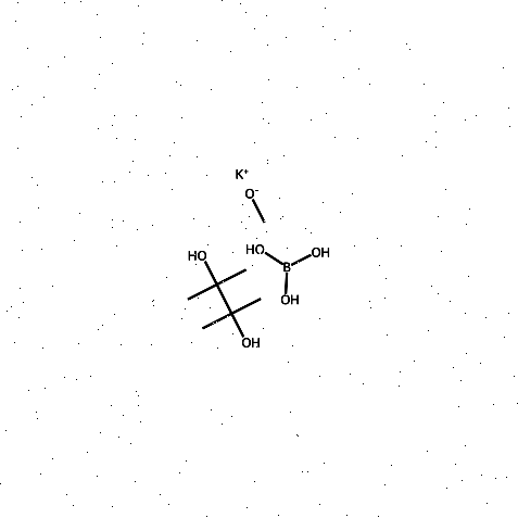 CC(C)(O)C(C)(C)O.C[O-].OB(O)O.[K+]